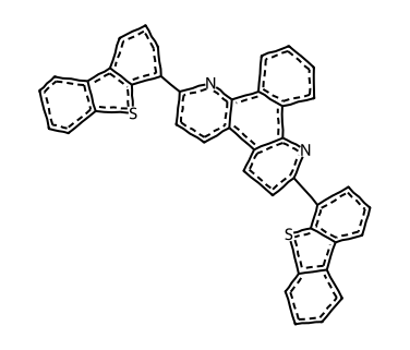 c1ccc2c(c1)sc1c(-c3ccc4c5ccc(-c6cccc7c6sc6ccccc67)nc5c5ccccc5c4n3)cccc12